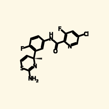 C[C@@]1(c2cc(NC(=O)c3ncc(Cl)cc3F)ccc2F)C=CSC(N)=N1